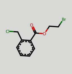 O=C(OCCBr)c1ccccc1CCl